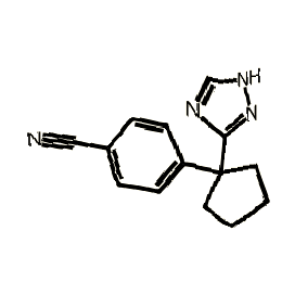 N#Cc1ccc(C2(c3nc[nH]n3)CCCC2)cc1